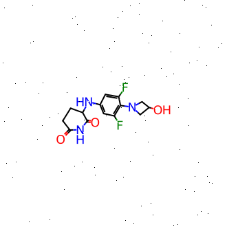 O=C1CCC(Nc2cc(F)c(N3CC(O)C3)c(F)c2)C(=O)N1